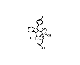 COP(=O)(C[C@@H](O)CC(=O)O)C(C)c1c(C(C)C)c2n(c1-c1ccc(F)cc1)CCCC2